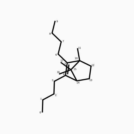 CCCCC1=C(CCCC)C2(C)CCC1C2(C)C